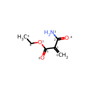 C=C(C(N)=O)C(=O)OCC